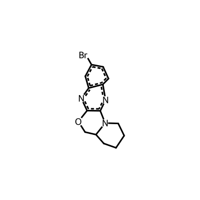 Brc1ccc2nc3c(nc2c1)OCC1CCCCN31